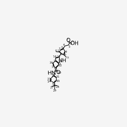 Cc1cc(CCC(=O)O)cc(C)c1-c1cc2ccc(C(=O)Nc3ccc(C(C)(C)C)cc3)cc2[nH]1